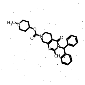 Cc1nc2c(c(=O)n1C(c1ccccc1)c1ccccc1)CCN(C(=O)OC1CCN(C)CC1)C2